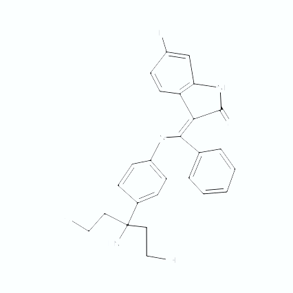 NC(CCO)(CCO)c1ccc(NC(=C2C(=O)Nc3cc(F)ccc32)c2ccccc2)cc1